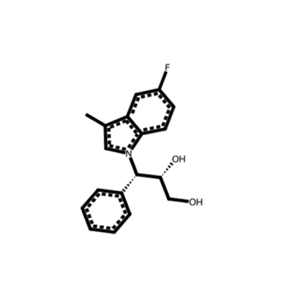 Cc1cn([C@@H](c2ccccc2)[C@H](O)CO)c2ccc(F)cc12